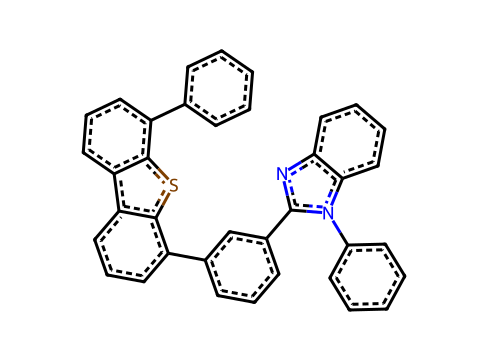 c1ccc(-c2cccc3c2sc2c(-c4cccc(-c5nc6ccccc6n5-c5ccccc5)c4)cccc23)cc1